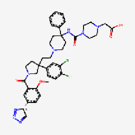 COc1ccc([C@@H]2C=NN=N2)cc1C(=O)N1CCC(CCN2CCC(NC(=O)N3CCN(CC(=O)O)CC3)(c3ccccc3)CC2)(c2ccc(Cl)c(Cl)c2)C1